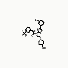 O=C(Nc1cccc(C(F)(F)F)c1)N(CCN1CCC(O)CC1)c1nc(-c2cccc(Cl)c2)cs1